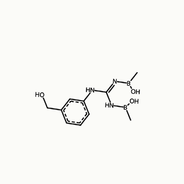 CB(O)/N=C(\NB(C)O)Nc1cccc(CO)c1